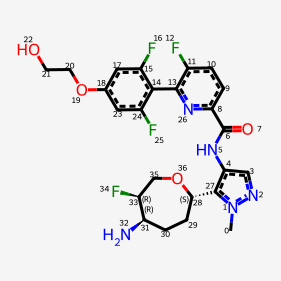 Cn1ncc(NC(=O)c2ccc(F)c(-c3c(F)cc(OCCO)cc3F)n2)c1[C@@H]1CC[C@@H](N)[C@@H](F)CO1